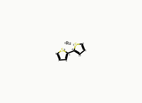 [Ru].c1csc(-c2cccs2)c1